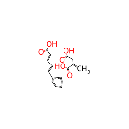 C=C(CC(=O)O)C(=O)O.O=C(O)C=CC=Cc1ccccc1